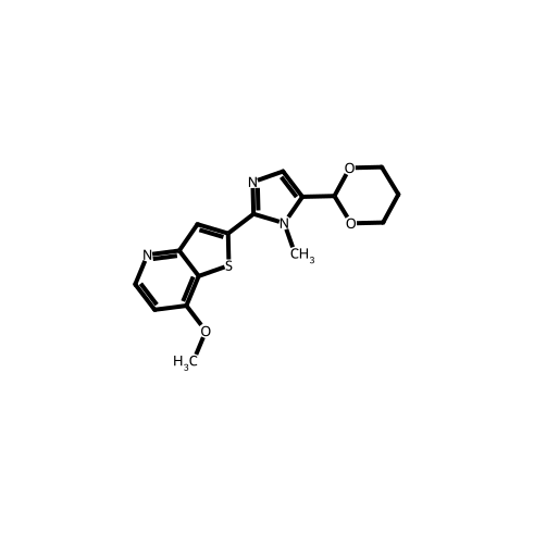 COc1ccnc2cc(-c3ncc(C4OCCCO4)n3C)sc12